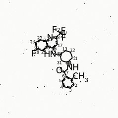 Cc1ccccc1C(=O)N[C@@H]1CCC[C@H](Nc2cc(C(F)(F)F)nc3ccc(F)cc23)C1